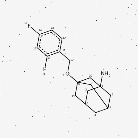 NC12CC3CC(C1)CC(OCc1ccc(F)cc1F)(C3)C2